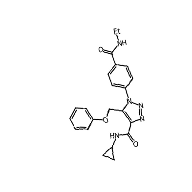 CCNC(=O)c1ccc(-n2nnc(C(=O)NC3CC3)c2COc2ccccc2)cc1